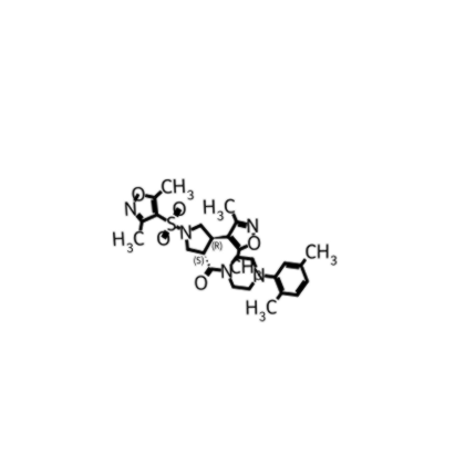 Cc1ccc(C)c(N2CCN(C(=O)[C@@H]3CN(S(=O)(=O)c4c(C)noc4C)C[C@H]3c3c(C)noc3C)CC2)c1